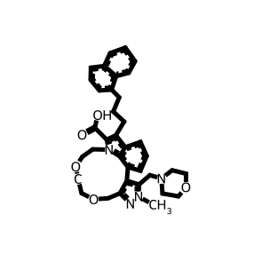 Cn1nc2c(c1CN1CCOCC1)-c1cccc3c(CCCc4cccc5ccccc45)c(C(=O)O)n(c13)CCOCCOC2